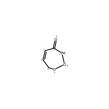 O=C1C=CCOOP1